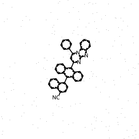 N#Cc1ccc(-c2c3ccccc3c(-c3cc(-c4ccccc4)n4c(n3)nc3ccccc34)c3ccccc23)c2ccccc12